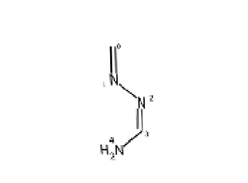 C=N/N=C\N